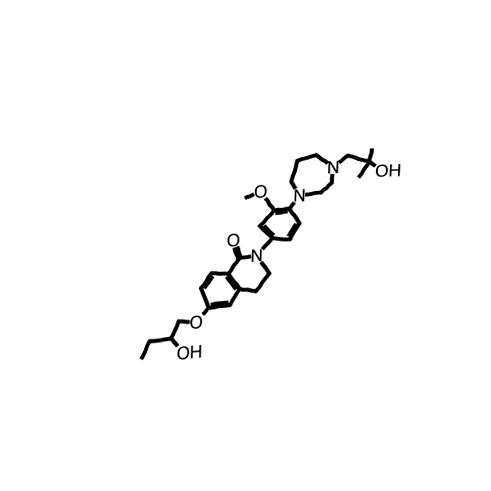 CCC(O)COc1ccc2c(c1)CCN(c1ccc(N3CCCN(CC(C)(C)O)CC3)c(OC)c1)C2=O